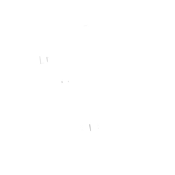 CCOc1c(F)cccc1C=O